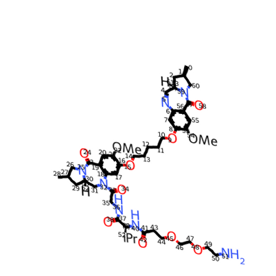 C=C1C[C@H]2C=Nc3cc(OCCCCCOc4cc5c(cc4OC)C(=O)N4CC(C)C[C@H]4CN5C(=O)CNC(=O)[C@@H](NC(=O)CCOCCOCCN)C(C)C)c(OC)cc3C(=O)N2C1